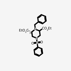 CCOC(=O)C1CN(S(=O)(=O)c2ccccc2)C[C@H](C(=O)OCC)N1Cc1ccccc1